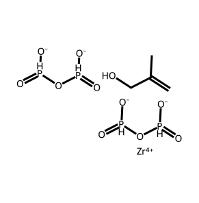 C=C(C)CO.O=[PH]([O-])O[PH](=O)[O-].O=[PH]([O-])O[PH](=O)[O-].[Zr+4]